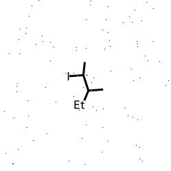 CCC(C)[C](C)I